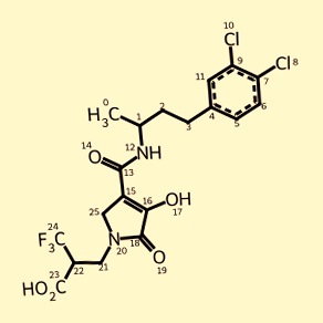 CC(CCc1ccc(Cl)c(Cl)c1)NC(=O)C1=C(O)C(=O)N(CC(C(=O)O)C(F)(F)F)C1